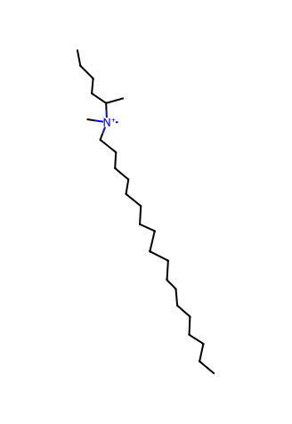 CCCCCCCCCCCCCCCCCC[N+](C)(C)C(C)CCCC